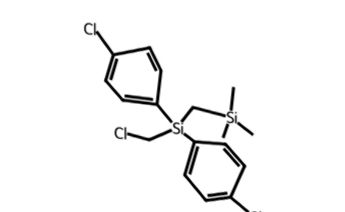 C[Si](C)(C)C[Si](CCl)(c1ccc(Cl)cc1)c1ccc(Cl)cc1